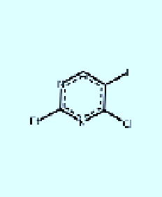 CCc1ncc(I)c(Cl)n1